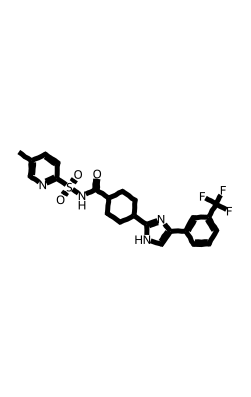 Cc1ccc(S(=O)(=O)NC(=O)C2CCC(c3nc(-c4cccc(C(F)(F)F)c4)c[nH]3)CC2)nc1